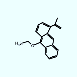 C=C(C)c1cccc2c(OC[SiH3])c3ccccc3cc12